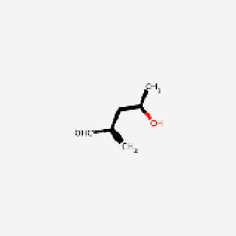 C=C([C]=O)CC(C)O